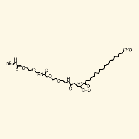 CCCCNC(=O)COCCOCCNC(=O)COCCOCCNC(=O)CCC(C=O)NC(=O)CCCCCCCCCCCCCCCCC=O